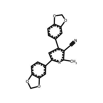 Cc1nc(-c2ccc3c(c2)OCO3)cc(-c2ccc3c(c2)OCO3)c1C#N